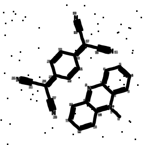 C[n+]1c2ccccc2nc2ccccc21.N#CC(C#N)=c1ccc(=C(C#N)C#N)cc1